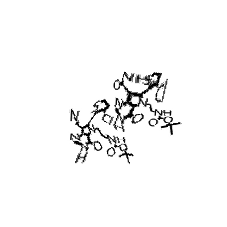 CC(C)(C)OC(=O)NCCn1c(-c2sccc2Cl)c(C#N)c2nc[nH]c(=O)c21.CC(C)(C)OC(=O)NCCn1c(-c2sccc2Cl)c(C(N)=O)c2nc[nH]c(=O)c21